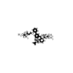 CC(C)(C)OC(=O)CCOc1ccccc1-c1cccc(CC2C(NS(=O)(=O)C3CC3)CCCN2C(=O)OC(C)(C)C)c1